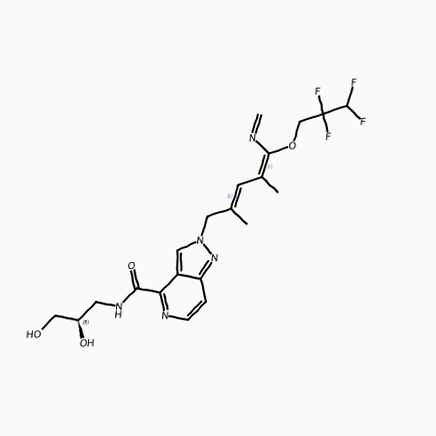 C=N/C(OCC(F)(F)C(F)F)=C(C)\C=C(/C)Cn1cc2c(C(=O)NC[C@@H](O)CO)nccc2n1